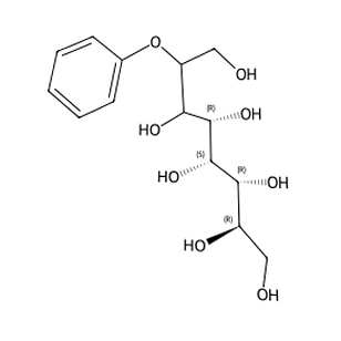 OCC(Oc1ccccc1)C(O)[C@H](O)[C@@H](O)[C@H](O)[C@H](O)CO